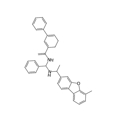 C=C(NC(NC(C)c1ccc2c(c1)oc1c(C)cccc12)c1ccccc1)C1=CC(c2ccccc2)=CCC1